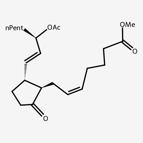 CCCCC[C@H](/C=C/[C@H]1CCC(=O)[C@@H]1C/C=C\CCCC(=O)OC)OC(C)=O